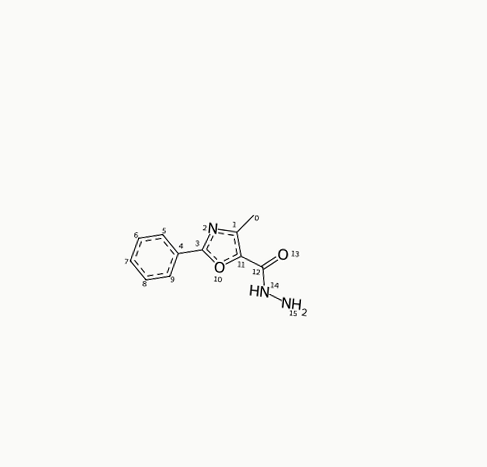 Cc1nc(-c2ccccc2)oc1C(=O)NN